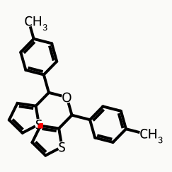 Cc1ccc(C(OC(c2ccc(C)cc2)c2cccs2)c2cccs2)cc1